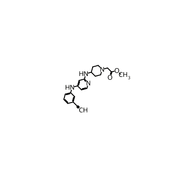 C#Cc1cccc(Nc2ccnc(NC3CCN(CC(=O)OC)CC3)c2)c1